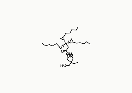 CCC(CO)(CO)CO.CCCCCC1CN1C(CC(=O)O)(N1CC1CCCCC)N1CC1CCCCC